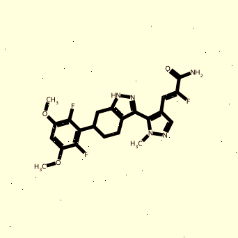 COc1cc(OC)c(F)c(C2CCc3c(-c4c(C=C(F)C(N)=O)cnn4C)n[nH]c3C2)c1F